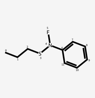 CCCSN(F)c1ccccc1